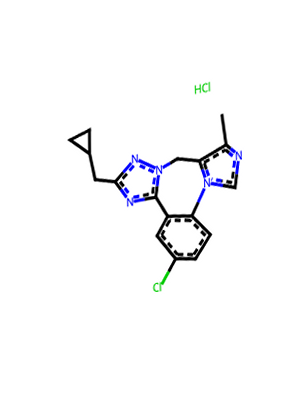 Cc1ncn2c1Cn1nc(CC3CC3)nc1-c1cc(Cl)ccc1-2.Cl